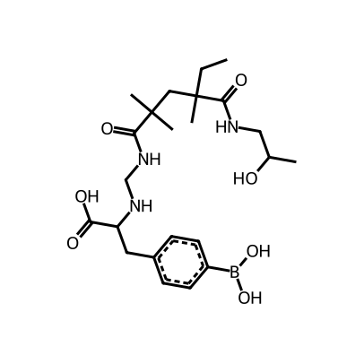 CCC(C)(CC(C)(C)C(=O)NCNC(Cc1ccc(B(O)O)cc1)C(=O)O)C(=O)NCC(C)O